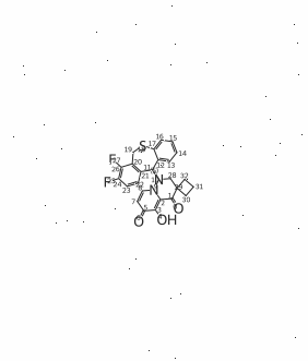 O=C1c2c(O)c(=O)ccn2N([C@@H]2c3ccccc3SCc3c2ccc(F)c3F)CC12CCC2